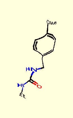 [CH2]CNC(=O)NCc1ccc(OC)cc1